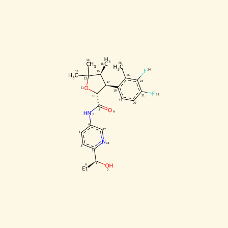 CC[C@H](O)c1ccc(NC(=O)[C@@H]2OC(C)(C)[C@@H](C)[C@H]2c2ccc(F)c(F)c2C)cn1